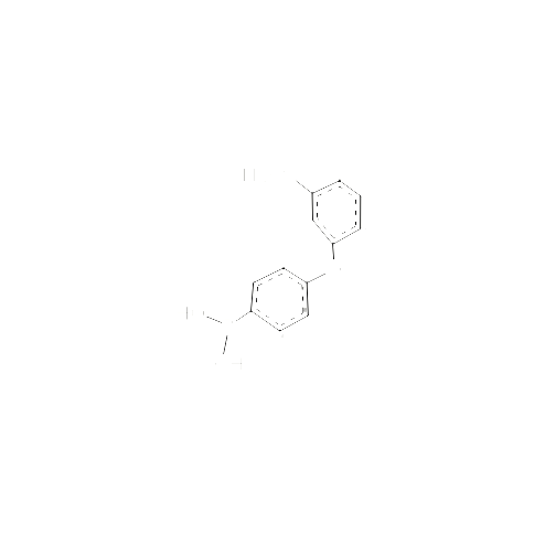 O=C(O)c1cccc(Oc2ccc(B(O)O)cc2)c1